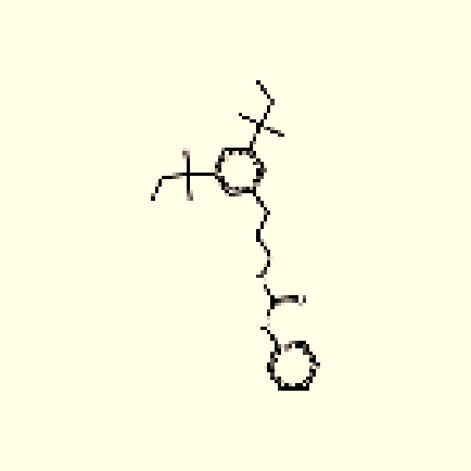 CCC(C)(C)c1cc(CCCOC(=O)Oc2ccccc2)cc(C(C)(C)CC)c1